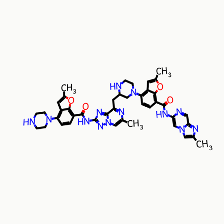 Cc1cn2nc(NC(=O)c3ccc(N4CCNCC4)c4cc(C)oc34)nc2c(CC2CN(c3ccc(C(=O)Nc4cn5cc(C)nc5cn4)c4oc(C)cc34)CCN2)n1